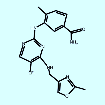 Cc1nc(CNc2nc(Nc3cc(C(N)=O)ccc3C)ncc2C(F)(F)F)co1